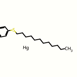 CCCCCCCCCCCCSc1ccccc1.[Hg]